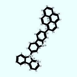 C1=C(n2c3ccccc3c3cccnc32)CCc2c1sc1cc(-c3ccc4ccc5cccc6ccc3c4c56)ccc21